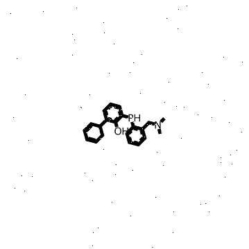 CN(C)Cc1ccccc1Pc1cccc(C2C=CC=CC2)c1O